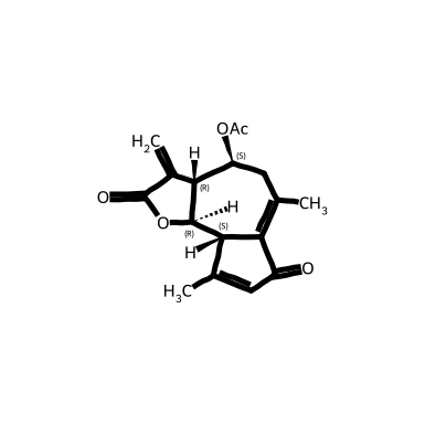 C=C1C(=O)O[C@@H]2[C@H]3C(C)=CC(=O)C3=C(C)C[C@H](OC(C)=O)[C@@H]12